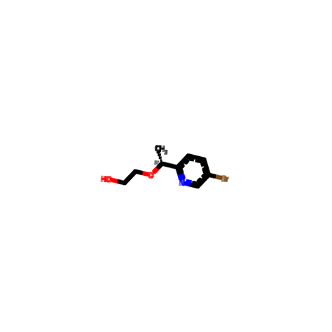 C[C@@H](OCCO)c1ccc(Br)cn1